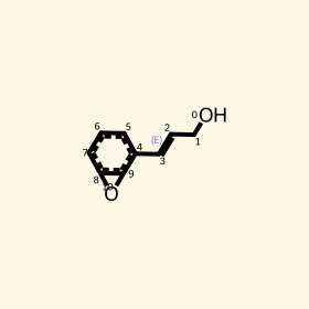 OC/C=C/c1cccc2c1O2